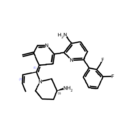 C=c1cnc(-c2nc(-c3cccc(F)c3F)ccc2N)c/c1=C(/C=C\C)N1CCC[C@H](N)C1